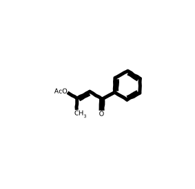 CC(=O)OC(C)=CC(=O)c1ccccc1